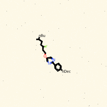 CCCCCCCCCCc1ccc(-c2ncc(OCCC(F)CCC(C)CCCC)cn2)cc1